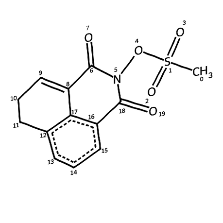 CS(=O)(=O)ON1C(=O)C2=CCCc3cccc(c32)C1=O